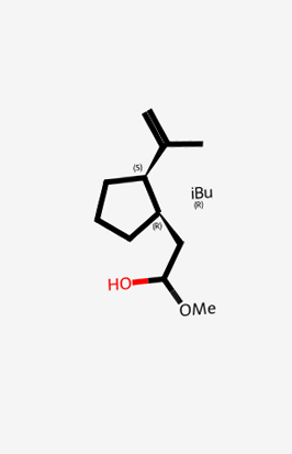 C=C(C)[C@@H]1CCC[C@@]1(CC(O)OC)[C@H](C)CC